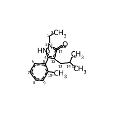 CCn1[nH]c(-c2ccccc2C)c(CC(C)C)c1=O